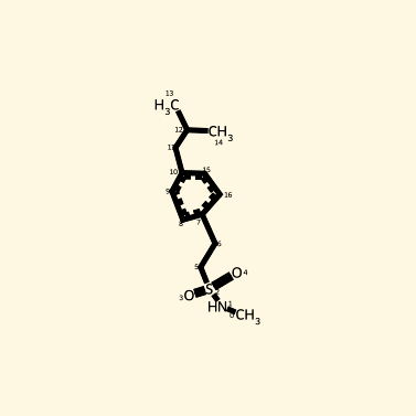 CNS(=O)(=O)CCc1ccc(CC(C)C)cc1